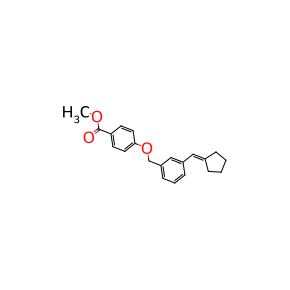 COC(=O)c1ccc(OCc2cccc(C=C3CCCC3)c2)cc1